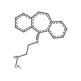 CNCCN=c1c2ccccc2ccc2ccccc12